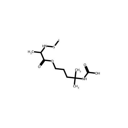 CC(NSI)C(=O)OCCCC(C)(C)NC(=O)O